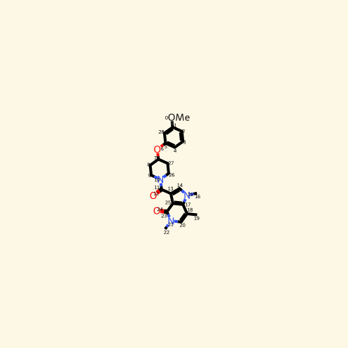 COc1cccc(OC2CCN(C(=O)c3cn(C)c4c(C)cn(C)c(=O)c34)CC2)c1